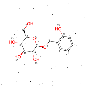 OC[C@H]1O[C@@H](OCc2ccccc2O)[C@H](O)[C@@H](O)[C@@H]1O